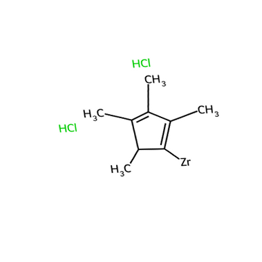 CC1=C(C)C(C)[C]([Zr])=C1C.Cl.Cl